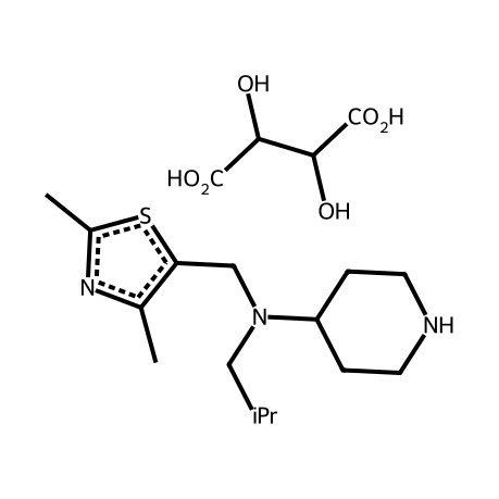 Cc1nc(C)c(CN(CC(C)C)C2CCNCC2)s1.O=C(O)C(O)C(O)C(=O)O